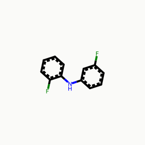 Fc1cccc(Nc2ccccc2F)c1